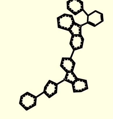 C1=CCC(c2ccccc2)C(n2c3ccccc3c3cc(-c4ccc5c(c4)c4ccccc4n5-c4ccc(-c5ccccc5)cc4)ccc32)=C1